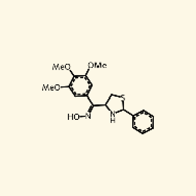 COc1cc(/C(=N\O)C2CSC(c3ccccc3)N2)cc(OC)c1OC